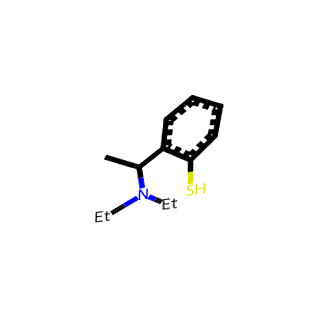 CCN(CC)C(C)c1ccccc1S